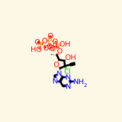 C#CC1(Cl)[C@@H](O)[C@@H]([C@H](C)OP(=O)(O)OP(=O)(O)OP(=O)(O)O)O[C@H]1n1cnc2cnc(N)nc21